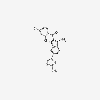 Cc1nc(-c2ccc3c(N)c(C(=O)c4ccc(Cl)cc4Cl)oc3c2)cs1